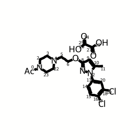 CC(=O)N1CCN(CCOc2cc(C)n(-c3ccc(Cl)c(Cl)c3)n2)CC1.O=C(O)C(=O)O